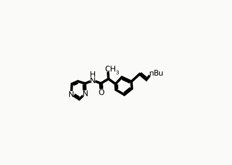 CCCCC=Cc1cccc(C(C)C(=O)Nc2ccncn2)c1